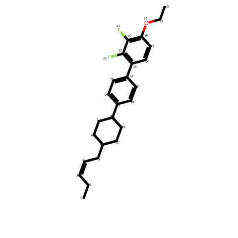 CC/C=C\CC1CCC(c2ccc(-c3ccc(OCC)c(F)c3F)cc2)CC1